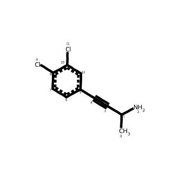 CC(N)C#Cc1ccc(Cl)c(Cl)c1